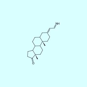 C[C@]12CC/C(=C\C=N)CC1CCC1C2CC[C@]2(C)C(=O)CCC12